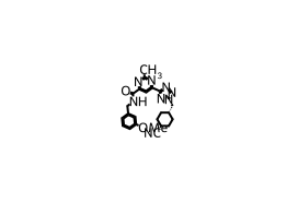 COc1cccc(CNC(=O)c2cc(-c3nnn(C[C@H]4CC[C@H](C#N)CC4)n3)nc(C)n2)c1